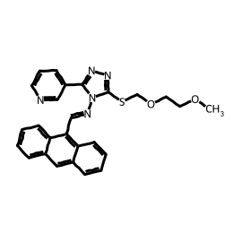 COCCOCSc1nnc(-c2cccnc2)n1N=Cc1c2ccccc2cc2ccccc12